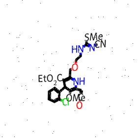 CCOC(=O)C1=C(COCCNC(=NC#N)SC)NC(C=C=O)=C(OC)C1c1ccccc1Cl